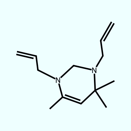 C=CCN1CN(CC=C)C(C)(C)C=C1C